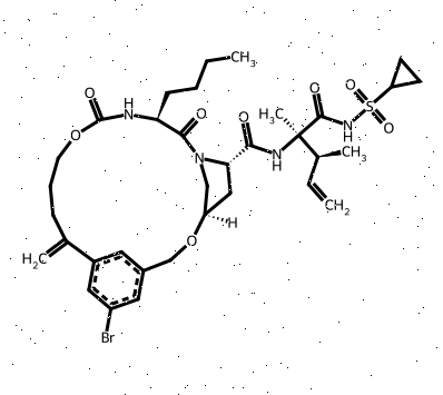 C=C[C@H](C)[C@@](C)(NC(=O)[C@@H]1C[C@@H]2CN1C(=O)[C@H](CCCC)NC(=O)OCCCC(=C)c1cc(Br)cc(c1)CO2)C(=O)NS(=O)(=O)C1CC1